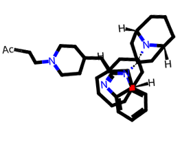 CC(=O)CCN1CCC(Cc2nc3ccccc3n2[C@H]2C[C@H]3CCC[C@@H](C2)N3[C@@H]2C[C@@H]3CCCC[C@@H](C3)C2)CC1